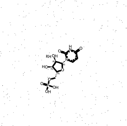 O=c1ccn([C@@H]2O[C@H](COP(=O)(O)O)[C@@H](O)[C@H]2O)c(=O)[nH]1.[KH]